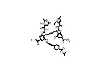 CCN/C(=C\C(C)=N)C(=O)Nc1nc2cc(C(N)=O)cc(OCC#CC3CCN(C(=O)OC(C)C)CC3)c2n1C/C=C/Cn1c(NC(=O)c2cc(C)nn2CC)nc2cc(C(N)=O)cc(OC)c21